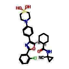 N#CC1(NC(=O)[C@@H]2CCCC[C@H]2c2oc(-c3ccccc3Cl)nc2-c2ccc(N3CCS(O)(O)CC3)cc2)CC1